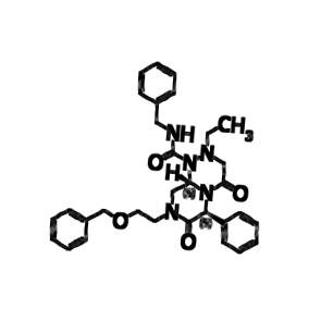 CCN1CC(=O)N2[C@@H](c3ccccc3)C(=O)N(CCOCc3ccccc3)C[C@@H]2N1C(=O)NCc1ccccc1